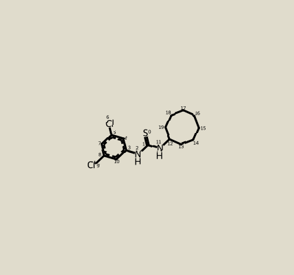 S=C(Nc1cc(Cl)cc(Cl)c1)NC1CCCCCCC1